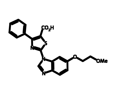 COCCOc1ccc2ncn(-c3nc(-c4ccccc4)c(C(=O)O)s3)c2c1